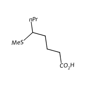 CCCC(CCCC(=O)O)SC